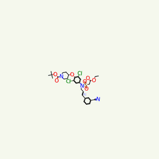 CCOC(=O)CS(=O)(=O)N(C/C=C/c1cccc(C#N)c1)c1cc(Cl)c(OC2CCN(C(=O)OC(C)(C)C)CC2)c(Cl)c1